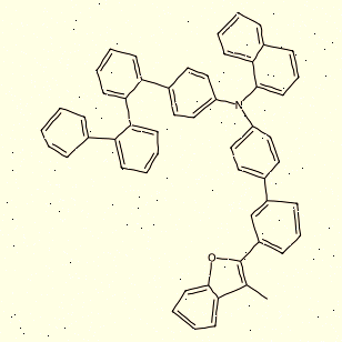 Cc1c(-c2cccc(-c3ccc(N(c4ccc(-c5ccccc5-c5ccccc5-c5ccccc5)cc4)c4cccc5ccccc45)cc3)c2)oc2ccccc12